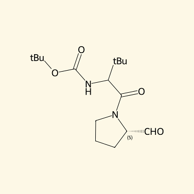 CC(C)(C)OC(=O)NC(C(=O)N1CCC[C@H]1C=O)C(C)(C)C